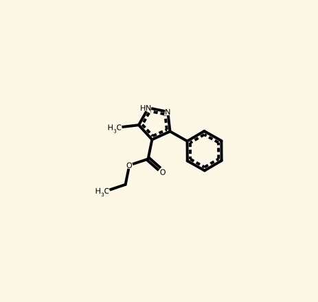 CCOC(=O)c1c(-c2ccccc2)n[nH]c1C